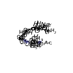 CC(=O)O[C@@H](C)/C=C\C(=O)N[C@@H]1C[C@H](C)[C@H](C/C=C(C)/C=C/[C@H]2O[C@H](CC(=O)NNC(=O)OCc3ccc(NC(=O)[C@H](CCCNC(N)=O)NC(=O)[C@@H](N)C(C)C)cc3)C[C@@]3(CO3)[C@@H]2O)O[C@@H]1C